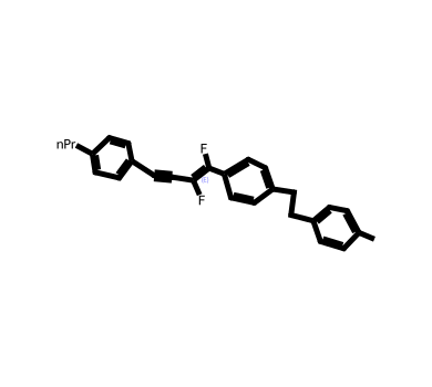 CCCc1ccc(C#C/C(F)=C(\F)c2ccc(CCc3ccc(C)cc3)cc2)cc1